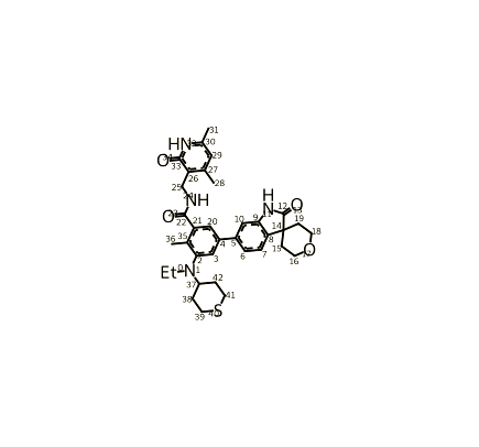 CCN(c1cc(-c2ccc3c(c2)NC(=O)C32CCOCC2)cc(C(=O)NCc2c(C)cc(C)[nH]c2=O)c1C)C1CCSCC1